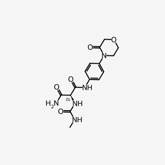 CNC(=O)N[C@@H](C(N)=O)C(=O)Nc1ccc(N2CCOCC2=O)cc1